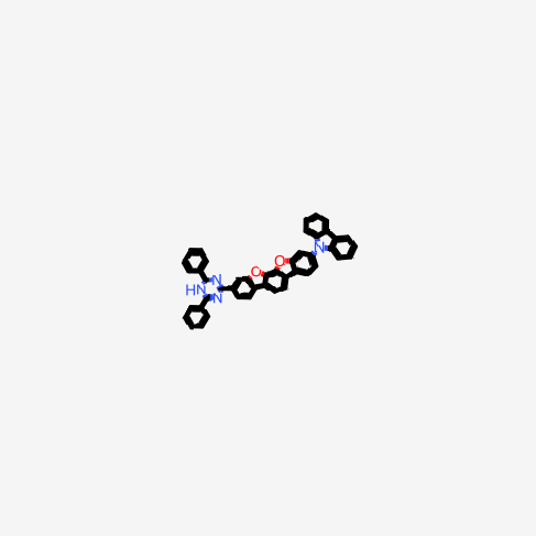 c1ccc(C2=NC(c3ccc4c(c3)oc3c4ccc4c5ccc(-n6c7ccccc7c7ccccc76)cc5oc43)=NC(c3ccccc3)N2)cc1